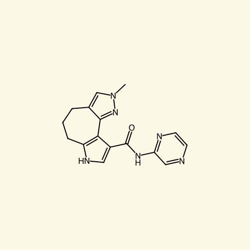 Cn1cc2c(n1)-c1c(C(=O)Nc3cnccn3)c[nH]c1CCC2